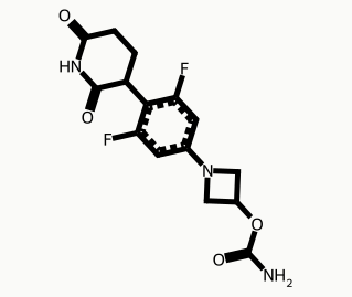 NC(=O)OC1CN(c2cc(F)c(C3CCC(=O)NC3=O)c(F)c2)C1